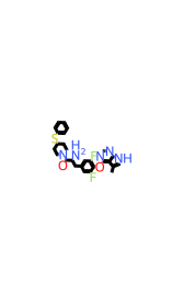 Cc1c[nH]c2ncnc(Oc3c(F)cc(CC(N)C(=O)N4CCC(Sc5ccccc5)CC4)cc3F)c12